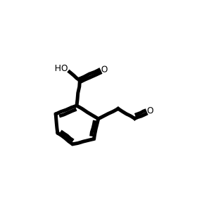 O=[C][CH]c1ccccc1C(=O)O